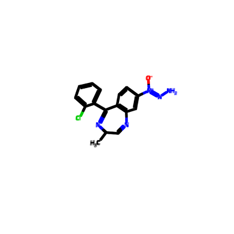 CC1C=Nc2cc([N+]([O-])=NN)ccc2C(c2ccccc2Cl)=N1